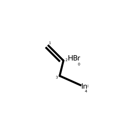 Br.C=C[CH2][In]